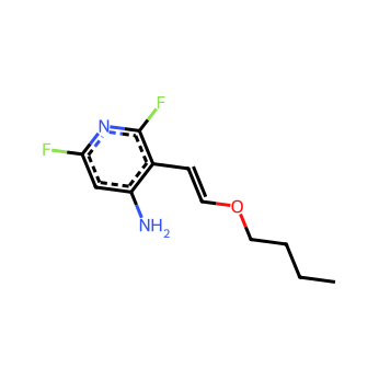 CCCCO/C=C/c1c(N)cc(F)nc1F